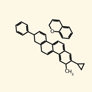 C1=Cc2ccccc2OC1.CC1C=c2c(ccc3c2=CCC2=C3C=CC(c3ccccc3)C2)C=C1C1CC1